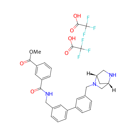 COC(=O)c1cccc(C(=O)NCc2cccc(-c3cccc(CN4C[C@@H]5C[C@H]4CN5)c3)c2)c1.O=C(O)C(F)(F)F.O=C(O)C(F)(F)F